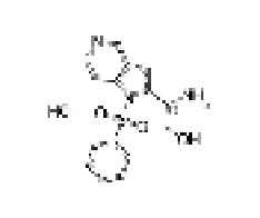 Cl.N[C@H](CO)c1cc2cnccc2n1S(=O)(=O)c1ccccc1